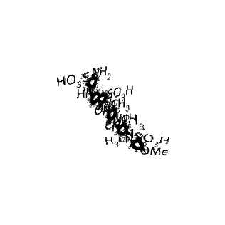 COc1ccc(N=Nc2cc(C)c(N=Nc3cc(C)c(N=Nc4c(S(=O)(=O)O)cc5cc(Nc6ccc(N)c(S(=O)(=O)O)c6)ccc5c4O)cc3C)cc2C)c(S(=O)(=O)O)c1